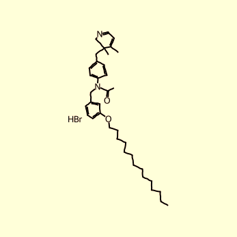 Br.CCCCCCCCCCCCCCOc1cccc(CN(C(C)=O)c2ccc(CC3(C)CN=CC=C3C)cc2)c1